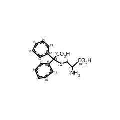 NC(CSC(C(=O)O)(c1ccccc1)c1ccccc1)C(=O)O